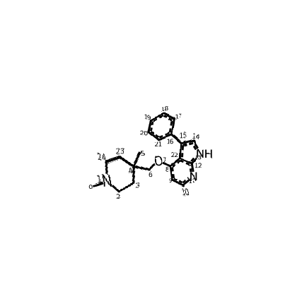 CN1CCC(C)(COc2ccnc3[nH]cc(-c4ccccc4)c23)CC1